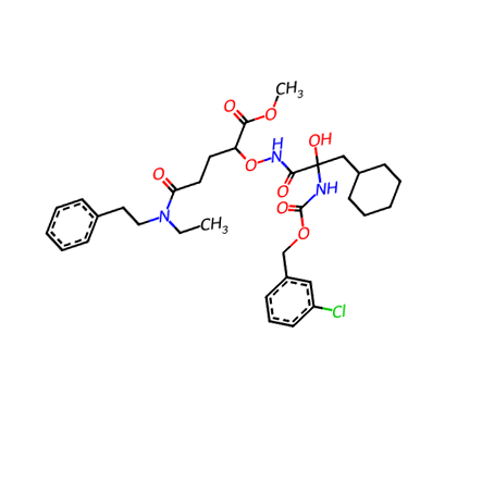 CCN(CCc1ccccc1)C(=O)CCC(ONC(=O)C(O)(CC1CCCCC1)NC(=O)OCc1cccc(Cl)c1)C(=O)OC